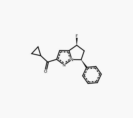 O=C(c1cc2n(n1)[C@H](c1ccccc1)C[C@@H]2F)C1CC1